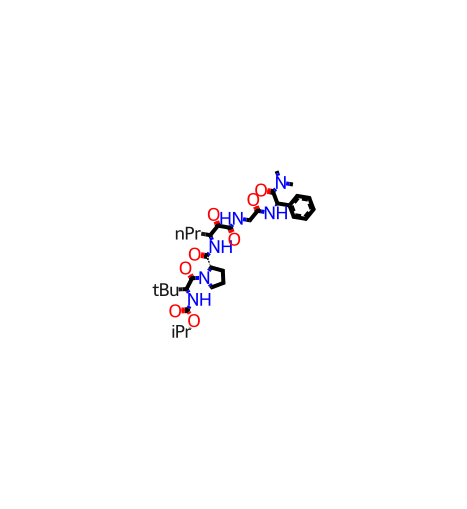 CCCC(NC(=O)[C@@H]1CCCN1C(=O)C(NC(=O)OC(C)C)C(C)(C)C)C(=O)C(=O)NCC(=O)N[C@H](C(=O)N(C)C)c1ccccc1